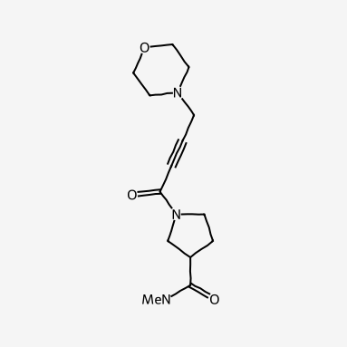 CNC(=O)C1CCN(C(=O)C#CCN2CCOCC2)C1